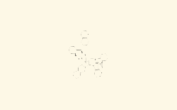 c1ccc2cc(-c3nc(-n4c5cc6ccccc6cc5c5c6c7ccccc7n7c8ccccc8c(cc54)c67)nc4ccccc34)ccc2c1